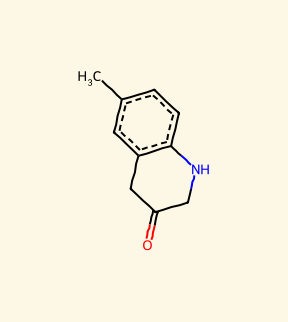 Cc1ccc2c(c1)CC(=O)CN2